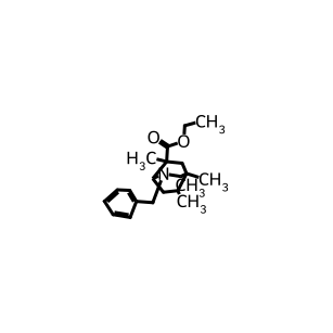 CCOC(=O)C1(C)CC2(C)C(C)CC1N(Cc1ccccc1)C2C